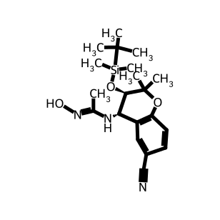 C/C(=N\O)N[C@H]1c2cc(C#N)ccc2OC(C)(C)[C@@H]1O[Si](C)(C)C(C)(C)C